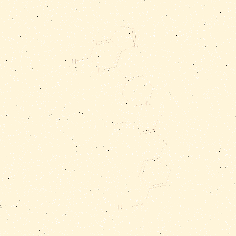 COc1ccc(NC(=O)ON2CCN(c3nc(N)nc4scnc34)C[C@H]2CO)cc1